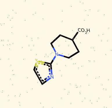 O=C(O)C1CCN(c2nccs2)CC1